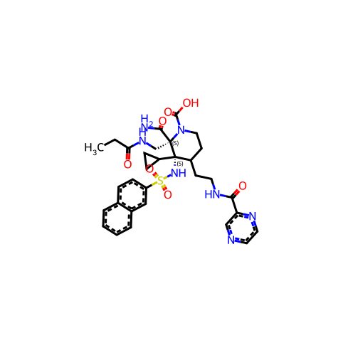 CCC(=O)NC[C@]1(C(N)=O)N(C(=O)O)CCC(CCNC(=O)c2cnccn2)[C@@]1(NS(=O)(=O)c1ccc2ccccc2c1)C1CC1